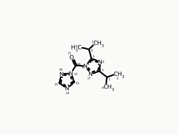 CC(C)c1nc(C(C)C)n(C(=O)n2cncn2)n1